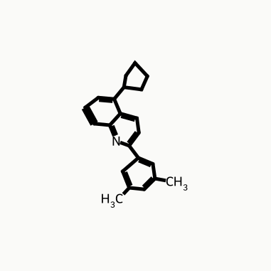 Cc1cc(C)cc(-c2ccc3c(C4CCCC4)cc#cc3n2)c1